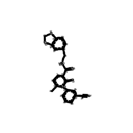 Cc1ccc(C(=O)NCc2ccc3c(c2)OCO3)c(=O)n1-c1cccc(C#N)c1